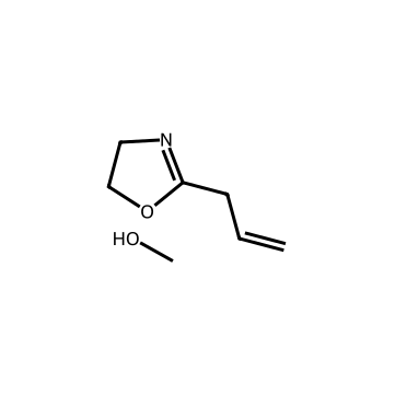 C=CCC1=NCCO1.CO